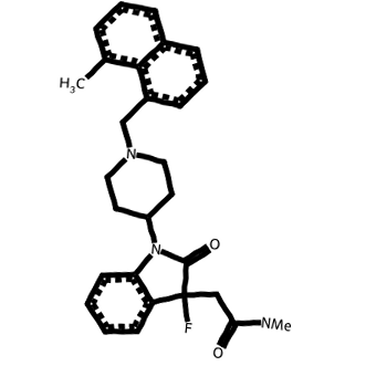 CNC(=O)CC1(F)C(=O)N(C2CCN(Cc3cccc4cccc(C)c34)CC2)c2ccccc21